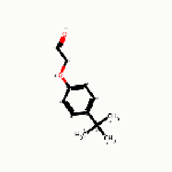 CC(C)(C)c1ccc(O[CH]C=O)cc1